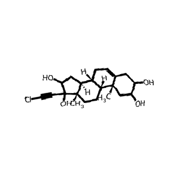 C[C@]12CC(O)C(O)CC1=CC[C@@H]1[C@H]2CC[C@@]2(C)[C@H]1CC(O)C2(O)C#CCl